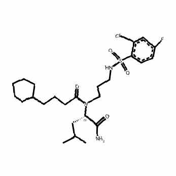 CC(C)C[C@@H](C(N)=O)N(CCCNS(=O)(=O)c1ccc(F)cc1Cl)C(=O)CCCC1CCCCC1